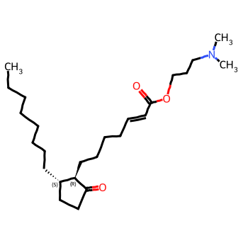 CCCCCCCC[C@H]1CCC(=O)[C@@H]1CCCCC=CC(=O)OCCCN(C)C